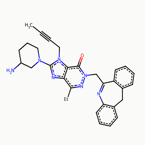 CC#CCn1c(N2CCCC(N)C2)nc2c(CC)nn(CC3=Nc4ccccc4Cc4ccccc43)c(=O)c21